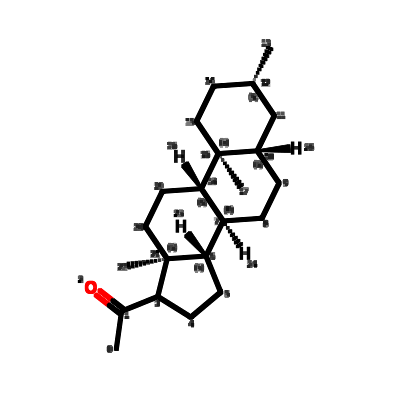 CC(=O)C1CC[C@H]2[C@@H]3CC[C@H]4C[C@@H](C)CC[C@]4(C)[C@H]3CC[C@]12C